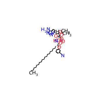 CCCCCCCCCCCCCCCCCCCC[C@H](COP(=O)(O)OC1[C@@]2(C#N)O[C@@H](c3ccc4c(N)ncnn34)[C@@H]3OC(C)(C)O[C@@]132)Oc1cccc(C#N)c1